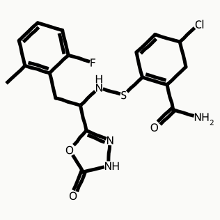 Cc1cccc(F)c1CC(NSC1=C(C(N)=O)CC(Cl)C=C1)c1n[nH]c(=O)o1